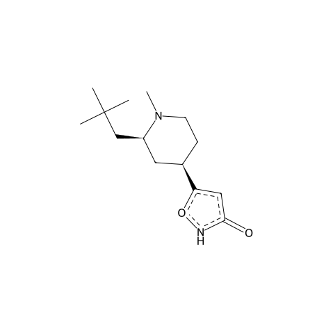 CN1CC[C@@H](c2cc(=O)[nH]o2)C[C@H]1CC(C)(C)C